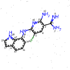 N=C(N)c1cc(F)c(Nc2cccc3cc[nH]c23)nc1N